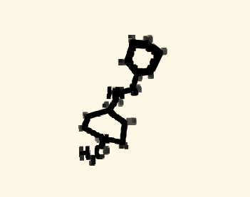 CN1CCC(NSc2ccccc2)CC1